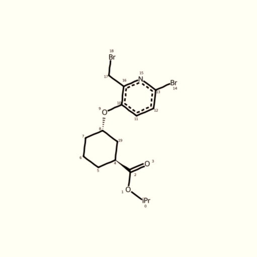 CC(C)OC(=O)[C@H]1CCC[C@H](Oc2ccc(Br)nc2CBr)C1